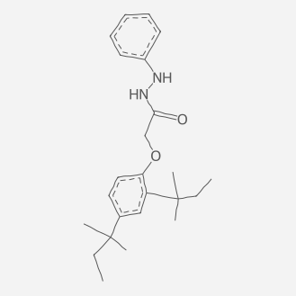 CCC(C)(C)c1ccc(OCC(=O)NNc2ccccc2)c(C(C)(C)CC)c1